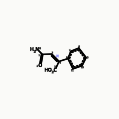 NC(=O)/C=C(\C(=O)O)c1ccccc1